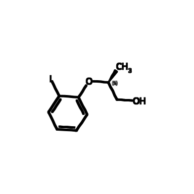 C[C@@H](CO)Oc1ccccc1I